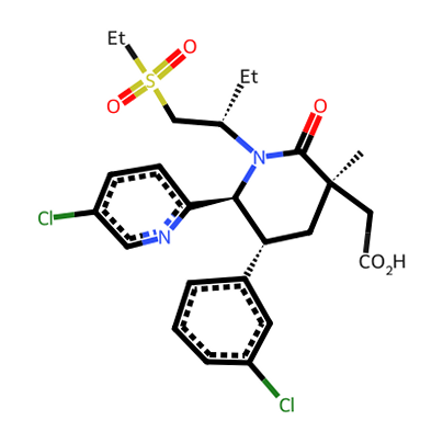 CC[C@@H](CS(=O)(=O)CC)N1C(=O)[C@@](C)(CC(=O)O)C[C@H](c2cccc(Cl)c2)[C@H]1c1ccc(Cl)cn1